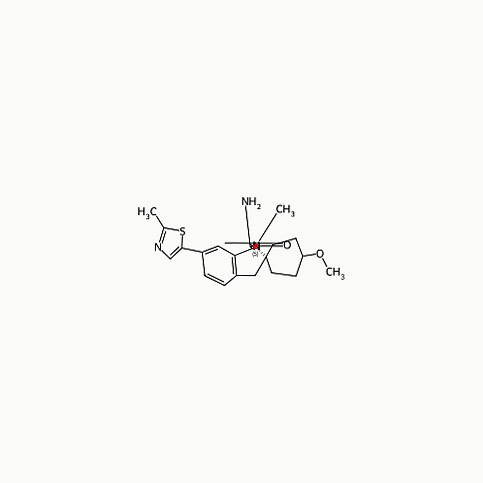 COC1CCC2(CC1)Cc1ccc(-c3cnc(C)s3)cc1[C@@]21N=C(N)N(C)C1=O